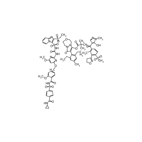 CCS(=O)(=O)c1nc2ccccn2c1S(=O)(=O)NC(=O)Nc1nc(OC)cc(OC)n1.CCc1cc(C)cc(CC)c1-c1c(OC(=O)C(C)(C)C)n2n(c1=O)CCOCC2.COc1ccccc1C(=O)NS(=O)(=O)c1ccc(C(=O)NC2CC2)cc1.Cc1c(C(=O)c2cnn(C)c2O)ccc(S(C)(=O)=O)c1C1=NOCC1